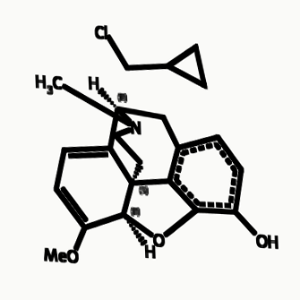 COC1=CC=C2[C@H]3Cc4ccc(O)c5c4[C@@]2(CCN3C)[C@H]1O5.ClCC1CC1